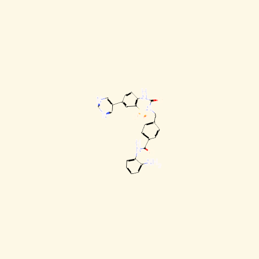 Nc1ccccc1NC(=O)c1ccc(CN2C(=O)Nc3ccc(-c4cncnc4)cc3S2(=O)=O)cc1